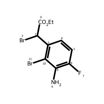 CCOC(=O)C(Br)c1ccc(F)c(N)c1Br